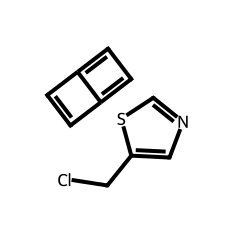 ClCc1cncs1.c1cc2ccc1-2